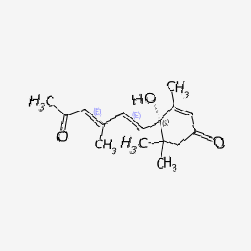 CC(=O)/C=C(C)/C=C/[C@@]1(O)C(C)=CC(=O)CC1(C)C